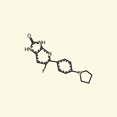 O=c1[nH]c2cc(F)c(-c3ccc(N4CCCC4)cc3)nc2[nH]1